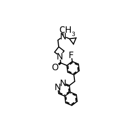 CN(CC1CN(C(=O)c2cc(Cc3nncc4ccccc34)ccc2F)C1)C1CC1